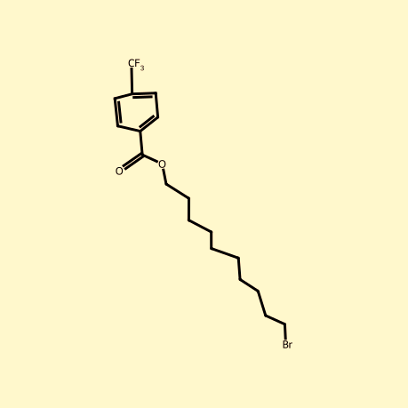 O=C(OCCCCCCCCCCBr)c1ccc(C(F)(F)F)cc1